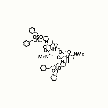 CN[C@@H](C)C(=O)N[C@H](C(=O)N1CCC[C@H]1CN(CCc1ccccc1)S(=O)(=O)Cc1ccccc1)[C@@H](C)OCCO[C@H](C)[C@H](NC(=O)[C@H](C)NC)C(=O)N1CCC[C@H]1CN(CCc1ccccc1)S(=O)(=O)Cc1ccccc1